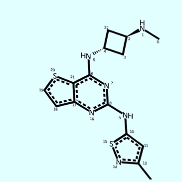 CN[C@H]1C[C@H](Nc2nc(Nc3cc(C)ns3)nc3ccsc23)C1